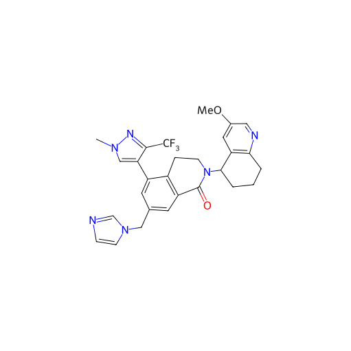 COc1cnc2c(c1)C(N1CCc3c(cc(Cn4ccnc4)cc3-c3cn(C)nc3C(F)(F)F)C1=O)CCC2